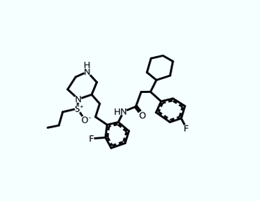 CCC[S+]([O-])N1CCNCC1CCc1c(F)cccc1NC(=O)CC(c1ccc(F)cc1)C1CCCCC1